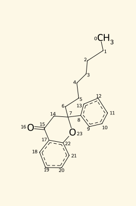 CCCCCCCC1(c2ccccc2)CC(=O)c2ccccc2O1